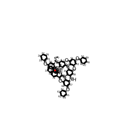 CSN1c2cc3c(cc2B2c4[nH]c5ccccc5c4Oc4cc(Oc5ccccc5)cc1c42)B1c2cc4c(cc2Oc2cc(Oc5ccccc5)cc(c21)O3)Nc1cc(Oc2ccccc2)cc2c1B4c1[nH]c3ccccc3c1O2